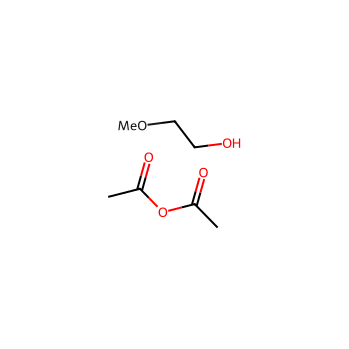 CC(=O)OC(C)=O.COCCO